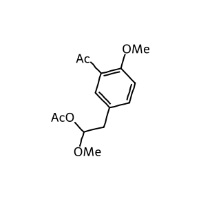 COc1ccc(CC(OC)OC(C)=O)cc1C(C)=O